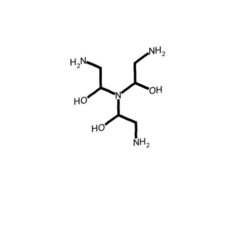 NCC(O)N(C(O)CN)C(O)CN